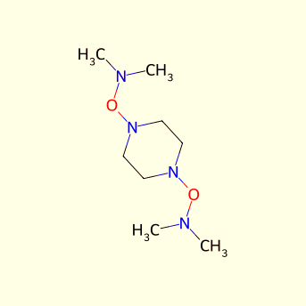 CN(C)ON1CCN(ON(C)C)CC1